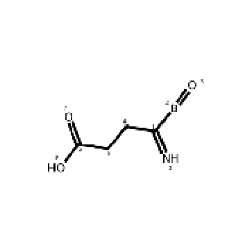 N=C(B=O)CCC(=O)O